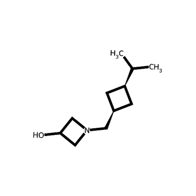 CC(C)[C@H]1C[C@@H](CN2CC(O)C2)C1